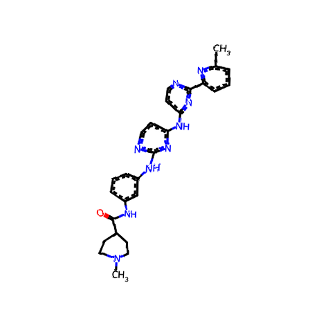 Cc1cccc(-c2nccc(Nc3ccnc(Nc4cccc(NC(=O)C5CCN(C)CC5)c4)n3)n2)n1